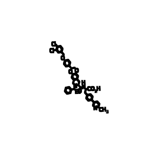 CC[C@@H](c1ccccc1)N1Cc2cc3c(cc2C[C@H]1C(=O)NC(Cc1ccc(-c2ccc(C)nc2)cc1)C(=O)O)OC[C@H](c1ccc(OCc2ccc(Cl)c(Cl)c2)cc1)O3